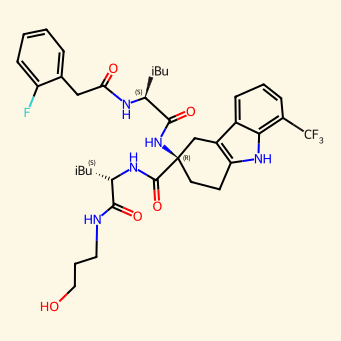 CCC(C)[C@H](NC(=O)Cc1ccccc1F)C(=O)N[C@]1(C(=O)NC(C(=O)NCCCO)[C@@H](C)CC)CCc2[nH]c3c(C(F)(F)F)cccc3c2C1